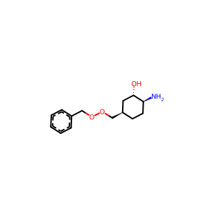 N[C@H]1CC[C@@H](COOCc2ccccc2)C[C@@H]1O